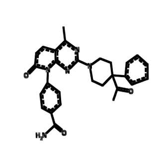 CC(=O)C1(c2ccccc2)CCN(c2nc(C)c3ccc(=O)n(-c4ccc(C(N)=O)cc4)c3n2)CC1